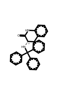 O=C1Nc2ccccc2C[C@@H]1NC(c1ccccc1)(c1ccccc1)c1ccccc1